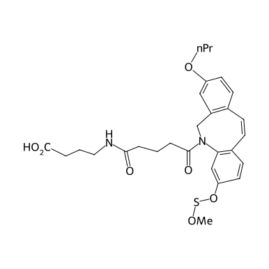 CCCOc1ccc2c(c1)CN(C(=O)CCCC(=O)NCCCC(=O)O)c1cc(OSOC)ccc1/C=C\2